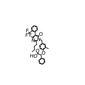 CCCCc1nc(C)c(-c2ccccc2C(F)(F)F)c(=O)n1Cc1ccc(OC(C(=O)O)c2ccccc2)c(C)c1